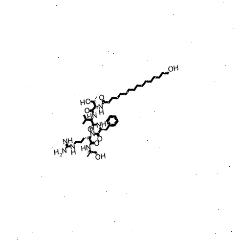 CC(C)[C@H](NC(=O)[C@@H](NC(=O)CCCCCCCCCCCCCCCO)[C@@H](C)O)C(=O)N[C@@H](Cc1ccccc1)C(=O)N[C@@H](CCCNC(=N)N)C(=O)N[C@H](C)CO